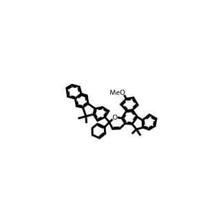 COc1ccc2c3c(c4c(c2c1)OC(C1=CCCC=C1)(c1ccc2c(c1)C(C)(C)c1cc5ccccc5cc1-2)C=C4)C(C)(C)c1ccccc1-3